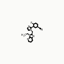 CCn1c(Cn2ccnc2-c2cc(C#N)ccc2F)nc2cccnc21